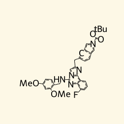 COc1ccc(CNc2nc3c(F)cccc3c3nc(Cc4ccc5cn(C(=O)OC(C)(C)C)cc5c4)cn23)c(OC)c1